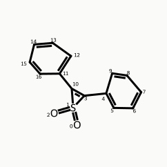 O=S1(=O)C(c2ccccc2)=C1c1ccccc1